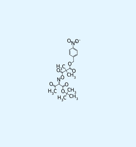 CC(=O)C(=NOC(=O)C(C)(C)C(=O)OCc1ccc([N+](=O)[O-])cc1)C(=O)OC(C)(C)C